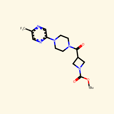 CC(C)(C)OC(=O)N1CC(C(=O)N2CCN(c3cnc(C(F)(F)F)cn3)CC2)C1